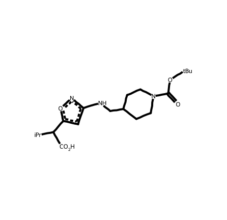 CC(C)C(C(=O)O)c1cc(NCC2CCN(C(=O)OC(C)(C)C)CC2)no1